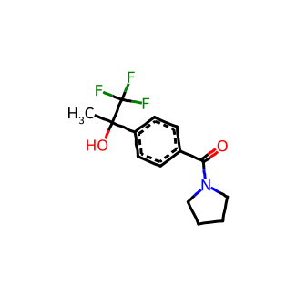 CC(O)(c1ccc(C(=O)N2CCCC2)cc1)C(F)(F)F